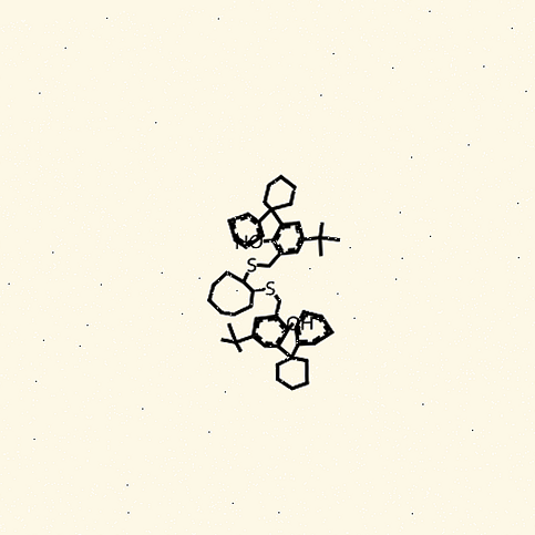 CC(C)(C)c1cc(CSC2CCCCCC[C@@H]2SCc2cc(C(C)(C)C)cc(C3(c4ccccc4)CCCCC3)c2O)c(O)c(C2(c3ccccc3)CCCCC2)c1